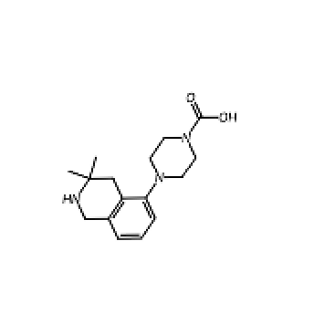 CC1(C)Cc2c(cccc2N2CCN(C(=O)O)CC2)CN1